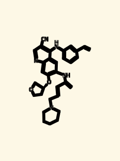 C=Cc1cccc(Nc2c(C#N)cnc3cc(O[C@H]4CCOC4)c(NC(=C)/C=C/CN4CCCCC4)cc23)c1